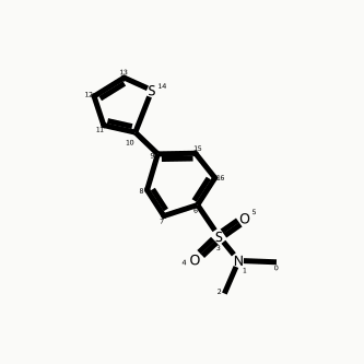 CN(C)S(=O)(=O)c1ccc(-c2cc[c]s2)cc1